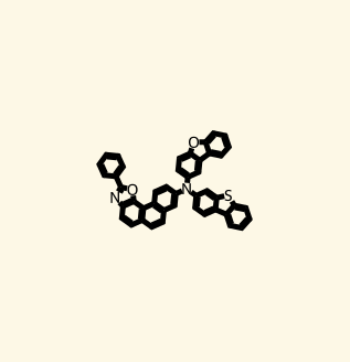 c1ccc(-c2nc3ccc4ccc5cc(N(c6ccc7c(c6)sc6ccccc67)c6ccc7oc8ccccc8c7c6)ccc5c4c3o2)cc1